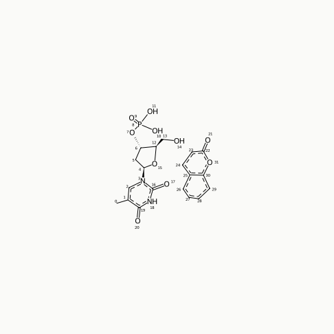 Cc1cn([C@H]2C[C@H](OP(=O)(O)O)[C@@H](CO)O2)c(=O)[nH]c1=O.O=c1ccc2ccccc2o1